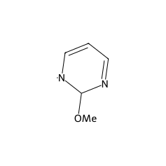 COC1[N]C=CC=N1